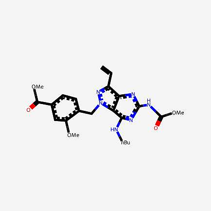 C=Cc1nn(Cc2ccc(C(=O)OC)cc2OC)c2c(NCCCC)nc(NC(=O)OC)nc12